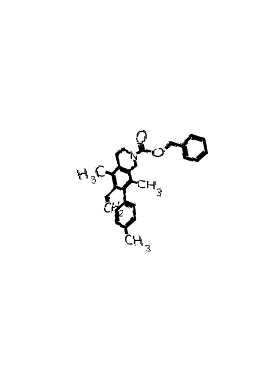 C=Cc1c(C)c2c(c(C)c1-c1ccc(C)cc1)CN(C(=O)OCc1ccccc1)CC2